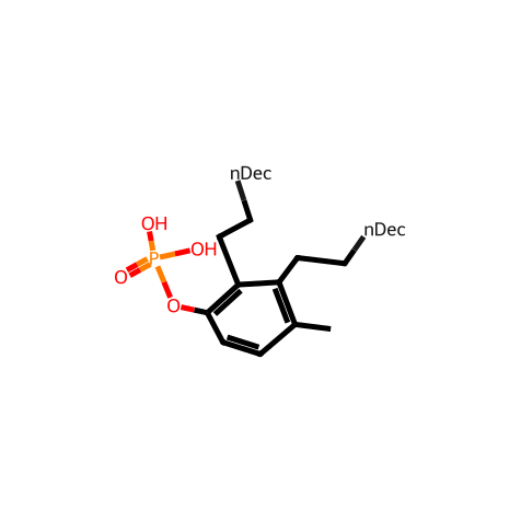 CCCCCCCCCCCCc1c(C)ccc(OP(=O)(O)O)c1CCCCCCCCCCCC